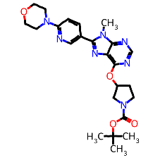 Cn1c(-c2ccc(N3CCOCC3)nc2)nc2c(OC3CCN(C(=O)OC(C)(C)C)C3)ncnc21